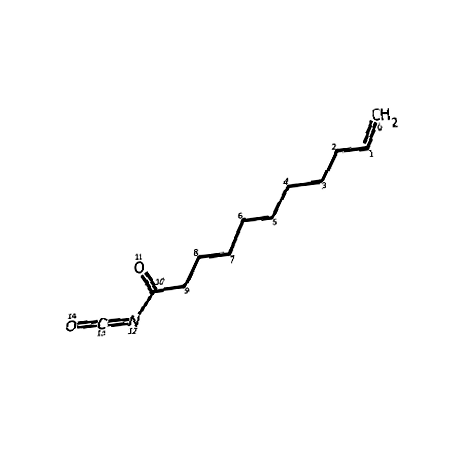 C=CCCCCCCCCC(=O)N=C=O